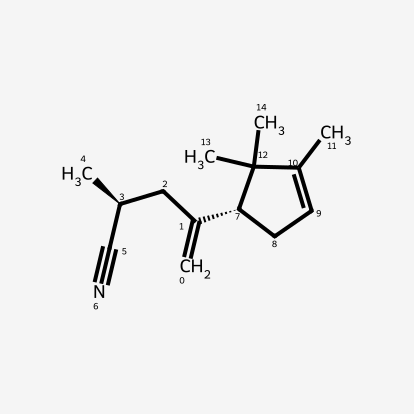 C=C(C[C@H](C)C#N)[C@H]1CC=C(C)C1(C)C